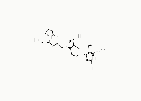 C=CC(CCCn1nc(C)c2c1CCN(c1cc(C)nc(NC)c1C=N)C2)N1CCCC1C